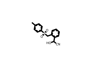 Cc1ccc(S(=O)(=O)Cc2ccccc2C(O)C#N)cc1